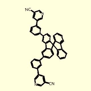 N#Cc1cncc(-c2cccc(-c3ccc4c(c3)-c3cc(-c5cccc(-c6cncc(C#N)c6)c5)ccc3C43c4ccccc4-c4ccccc43)c2)c1